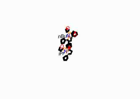 CCCCN(P(c1ccoc1)c1ccoc1)P1[C@@H](c2ccccc2)CC(c2coc(P(c3ccco3)N(C(C)C)P3[C@@H](c4ccccc4)CC[C@@H]3c3ccccc3)c2)[C@@H]1c1ccccc1